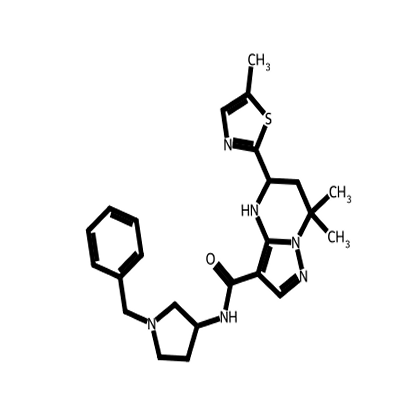 Cc1cnc(C2CC(C)(C)n3ncc(C(=O)NC4CCN(Cc5ccccc5)C4)c3N2)s1